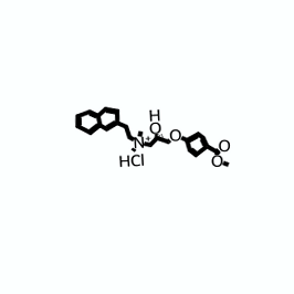 COC(=O)c1ccc(OC[C@H](O)C[N+](C)(C)CCc2ccc3ccccc3c2)cc1.Cl